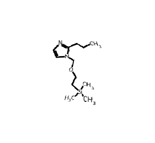 CCCc1nccn1COCC[Si](C)(C)C